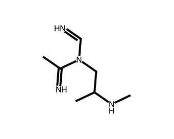 CNC(C)CN(C=N)C(C)=N